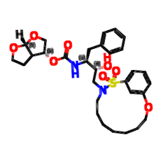 O=C(N[C@@H](Cc1ccccc1)[C@H](O)CN1CCCCCCCOc2cccc(c2)S1(=O)=O)O[C@H]1CO[C@H]2OCCC21